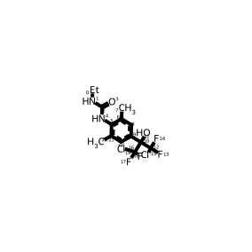 CCNC(=O)Nc1c(C)cc(C(O)(C(F)(F)Cl)C(F)(F)Cl)cc1C